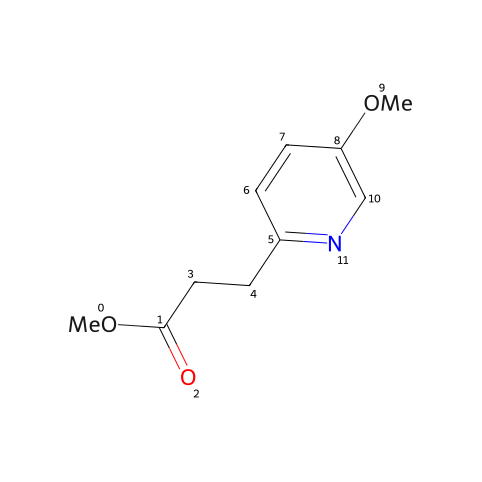 COC(=O)CCc1ccc(OC)cn1